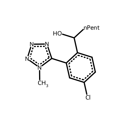 CCCCCC(O)c1ccc(Cl)cc1-c1nnnn1C